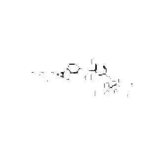 CCOC(=O)C1C2Cc3cc(OC(C)c4cc(B5OC(C)(C)C(C)(C)O5)ccc4F)ccc3C21